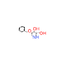 OCC1CNCC(OCc2ccccc2)C1O